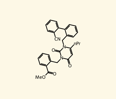 CCCc1cc(=O)n(Cc2ccccc2C(=O)OC)c(=O)n1Cc1ccccc1-c1ccccc1C#N